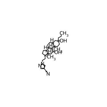 CCC[C@@]1(O)CC[C@@]2(C)[C@H](CC[C@@H]3[C@@H]2[C@@H](O)C[C@]2(C)[C@@H](CCn4cc(C#N)cn4)CC[C@@H]32)C1